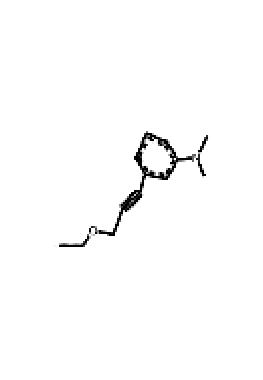 [CH2]COCC#Cc1cccc(N(C)C)c1